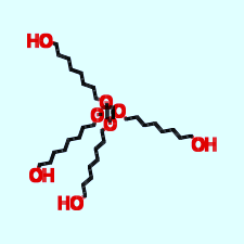 OCCCCCCCC[O][Ti]([O]CCCCCCCCO)([O]CCCCCCCCO)[O]CCCCCCCCO